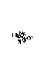 COC[C@@H]1CCCN1c1ccnc2[nH]cc(C#N)c12